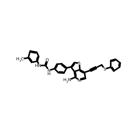 Cc1cccc(NC(=O)Nc2ccc(-c3csc4c(C#CCSc5ccccc5)cnc(N)c34)cc2)c1